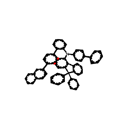 c1ccc(-c2ccc(N(c3ccccc3-c3ccc(-c4ccc5ccccc5c4)cc3)c3cccc4c3-c3ccccc3C4(c3ccccc3)c3ccccc3)cc2)cc1